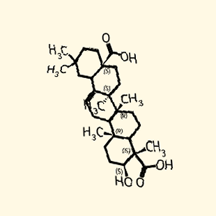 CC1(C)CC[C@]2(C(=O)O)CC[C@]3(C)C(=CCC4[C@@]5(C)CC[C@H](O)[C@@](C)(C(=O)O)C5CC[C@]43C)C2C1